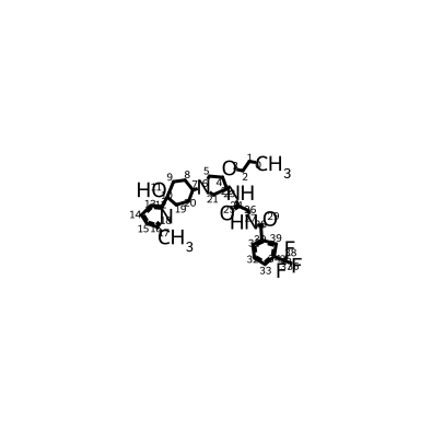 CCCO[C@H]1CN(C2CCC(O)(c3cccc(C)n3)CC2)C[C@@H]1NC(=O)CNC(=O)c1cccc(C(F)(F)F)c1